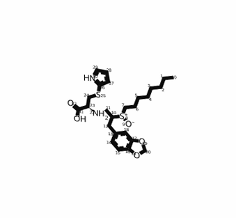 CCCCCCCC[S+]([O-])C(C)Cc1ccc2c(c1)OCO2.N[C@@H](CSc1ccc[nH]1)C(=O)O